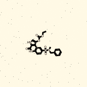 CCOC(=O)Oc1c[nH]c2c(=O)[nH]c3ccc(S(=O)(=O)N(C)Cc4ccccc4)cc3c12